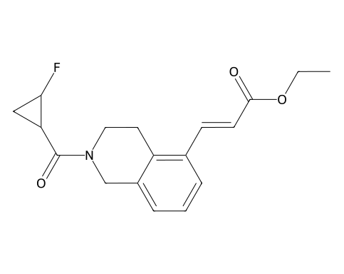 CCOC(=O)C=Cc1cccc2c1CCN(C(=O)C1CC1F)C2